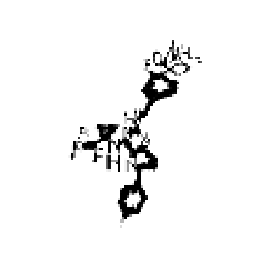 NS(=O)(=O)c1ccc(CNc2nc(NC3(C(F)(F)F)CC3)c3nc(-c4ccc(F)cc4)ccc3n2)cc1F